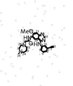 C#Cc1cccc(Nc2ncnc3cc(OC)c(NC(=O)CN4CCCN(C)CC4)cc23)c1